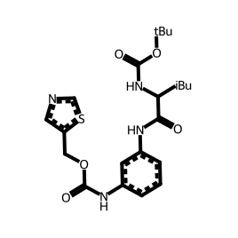 CCC(C)C(NC(=O)OC(C)(C)C)C(=O)Nc1cccc(NC(=O)OCc2cncs2)c1